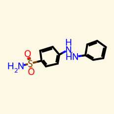 NS(=O)(=O)c1ccc(NNc2ccccc2)cc1